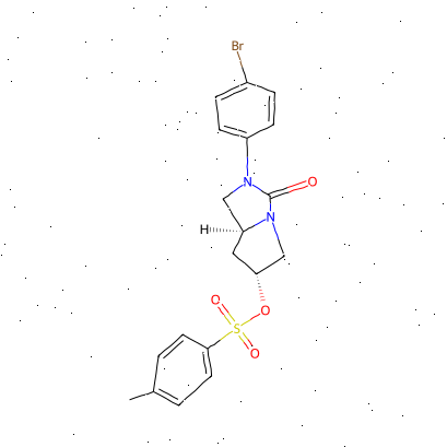 Cc1ccc(S(=O)(=O)O[C@@H]2C[C@H]3CN(c4ccc(Br)cc4)C(=O)N3C2)cc1